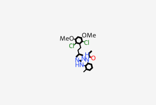 C=CC(=O)Nc1cccc(C)c1Nc1ncc(CCc2c(Cl)c(OC)cc(OC)c2Cl)cn1